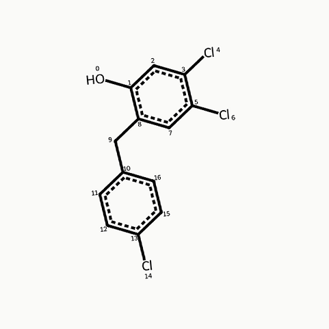 Oc1cc(Cl)c(Cl)cc1Cc1ccc(Cl)cc1